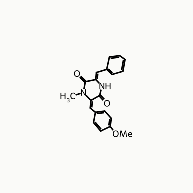 COc1ccc(C=c2c(=O)[nH]c(=Cc3ccccc3)c(=O)n2C)cc1